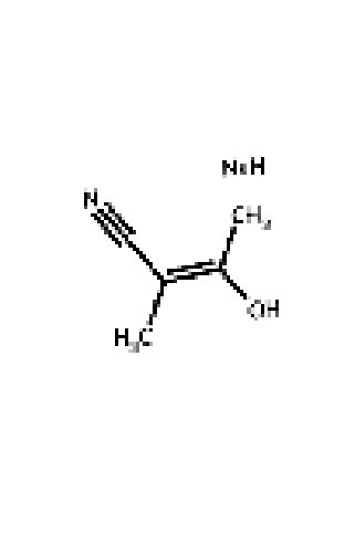 CC(O)=C(C)C#N.[NaH]